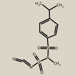 CC(C)c1ccc(S(=O)(=O)N(C)S(=O)(=O)N=C=O)cc1